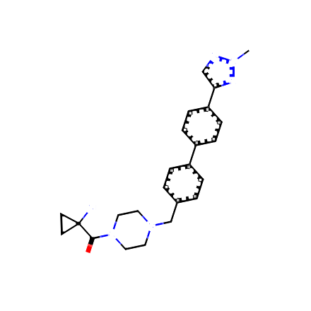 Cn1ncc(-c2ccc(-c3ccc(CN4CCN(C(=O)C5(N)CC5)CC4)cc3)cc2)n1